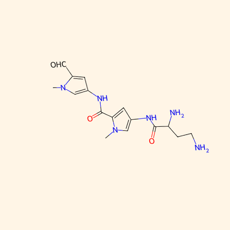 Cn1cc(NC(=O)c2cc(NC(=O)C(N)CCN)cn2C)cc1C=O